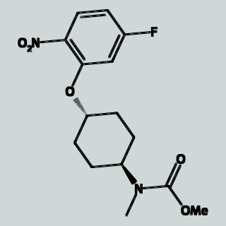 COC(=O)N(C)[C@H]1CC[C@H](Oc2cc(F)ccc2[N+](=O)[O-])CC1